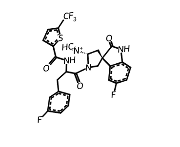 C#[N+][C@@H]1C[C@@]2(CN1C(=O)C(Cc1cccc(F)c1)NC(=O)c1ccc(C(F)(F)F)s1)C(=O)Nc1ccc(F)cc12